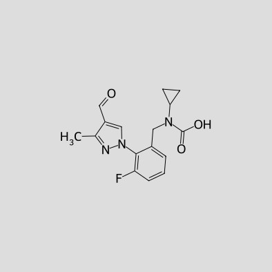 Cc1nn(-c2c(F)cccc2CN(C(=O)O)C2CC2)cc1C=O